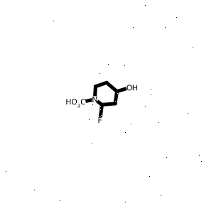 O=C(O)N1CCC(O)CC1F